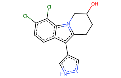 OC1CCc2c(-c3cn[nH]c3)c3ccc(Cl)c(Cl)c3n2C1